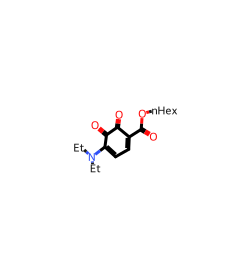 CCCCCCOC(=O)C1=CC=C(N(CC)CC)C(=O)C1=O